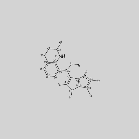 CCN(C1=C(C)C(C)c2c1sc(C)c2C)c1cccc2c1NC(C)CC2